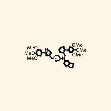 COc1cc(-c2cc(CN3CCC(N(Cc4ccccc4-c4cc(OC)c(OC)c(OC)c4)c4ccc5c(c4)CCC5)CC3)ccn2)cc(OC)c1OC